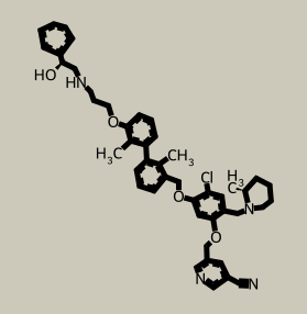 Cc1c(COc2cc(OCc3cncc(C#N)c3)c(CN3CCCC[C@H]3C)cc2Cl)cccc1-c1cccc(OCCCNC[C@@H](O)c2ccccc2)c1C